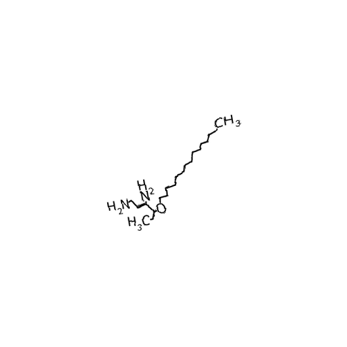 CCCCCCCCCCCCCCCOC(CC)C(N)=CCN